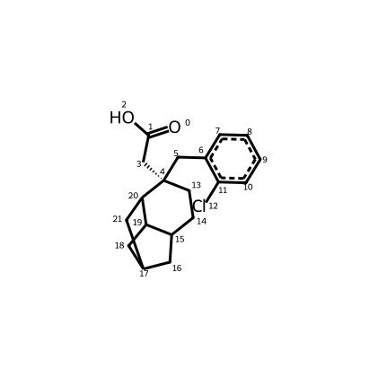 O=C(O)C[C@]1(Cc2ccccc2Cl)CCC2CC3CC2C1C3